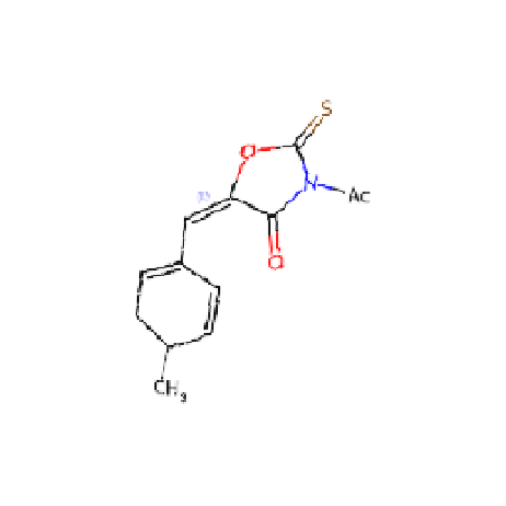 CC(=O)N1C(=O)/C(=C\C2=CCC(C)C=C2)OC1=S